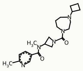 Cc1ccc(C(=O)N(C)C2CN(C(=O)N3CCCN(C4CCC4)CC3)C2)cn1